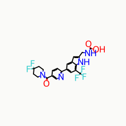 O=C(O)NCc1cc2cc(-c3ccc(C(=O)N4CCC(F)(F)CC4)cn3)cc(C(F)(F)F)c2[nH]1